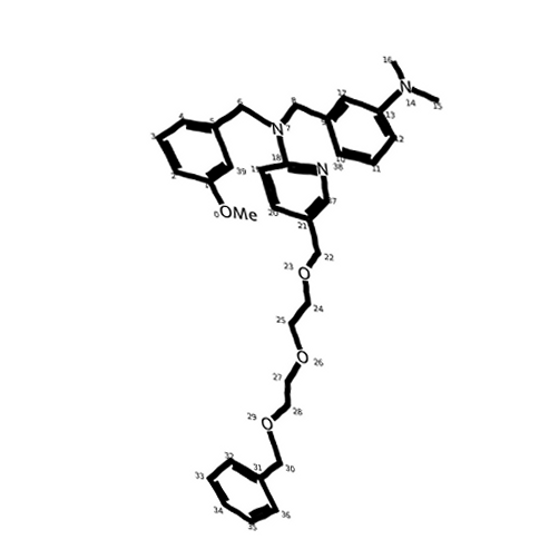 COc1cccc(CN(Cc2cccc(N(C)C)c2)c2ccc(COCCOCCOCc3ccccc3)cn2)c1